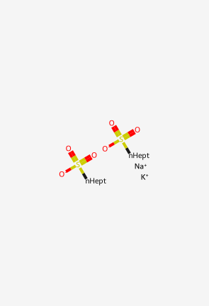 CCCCCCCS(=O)(=O)[O-].CCCCCCCS(=O)(=O)[O-].[K+].[Na+]